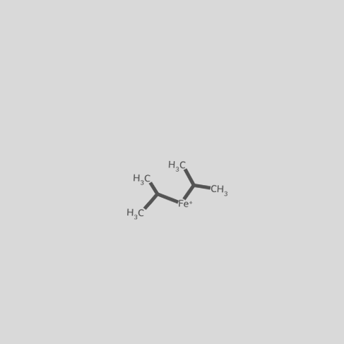 C[CH](C)[Fe+][CH](C)C